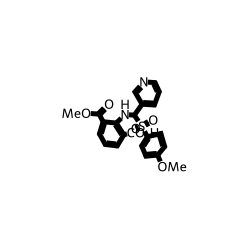 COC(=O)c1cccc(C(=O)O)c1NC(c1cccnc1)S(=O)(=O)c1ccc(OC)cc1